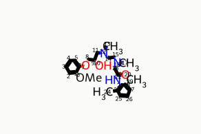 COc1ccccc1OCC(O)CN(C)CCN(C)CC(=O)Nc1c(C)cccc1C